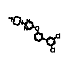 CN1CCN(c2ncc(Oc3cccc(-c4cc(Cl)cc(Cl)c4)c3)cn2)CC1